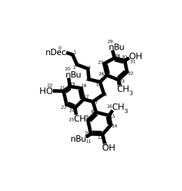 CCCCCCCCCCCCCCC(CC(c1cc(CCCC)c(O)cc1C)c1cc(CCCC)c(O)cc1C)c1cc(CCCC)c(O)cc1C